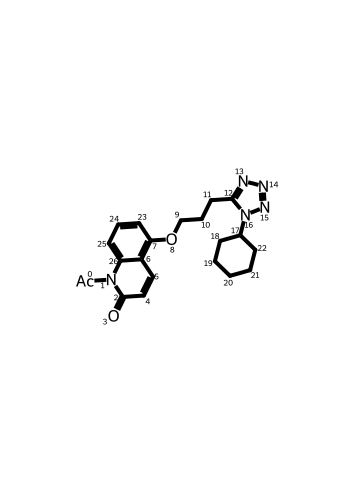 CC(=O)n1c(=O)ccc2c(OCCCc3nnnn3C3CCCCC3)cccc21